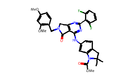 COC(=O)N1c2cc(Nc3nc(-c4c(F)cccc4F)nc4c3C(=O)N(Cc3ccc(OC)cc3OC)C4)ccc2CC1(C)C